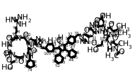 CC(=O)N[C@H](C)C(=O)N[C@H](CCC(=O)O)C(=O)NC(C(=O)N[C@H](CC(=O)O)C(=O)N[C@H](Cc1cn(Cc2ccc(C3=C(c4ccccc4)C(c4ccccc4)=C(c4ccc(Cn5cc(C[C@@H]6NC(=O)[C@@H](Cc7ccccc7)NC(=O)[C@H](CC(=O)O)NC(=O)CNC(=O)[C@H](CCCNC(=N)N)NC6=O)nn5)cc4)[SiH]3C)cc2)nn1)C(N)=O)C(C)C